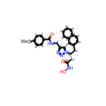 COc1ccc(C(=O)NCc2cn([C@@H](CC(=O)NO)Cc3ccc4ccccc4c3)nn2)cc1